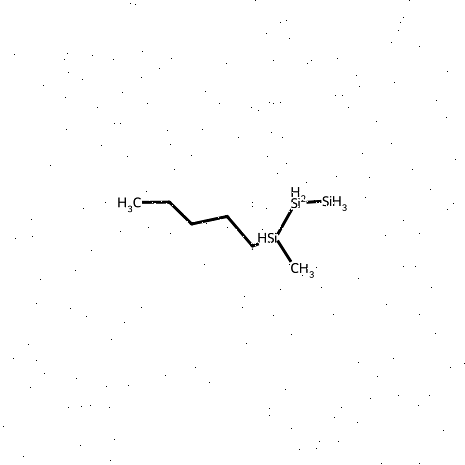 CCCC[CH][SiH](C)[SiH2][SiH3]